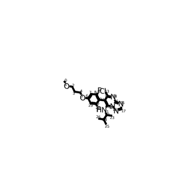 COCCCOc1cc(F)c(-c2c(Cl)nc3ncnn3c2NC(C)C(C)C)c(F)c1